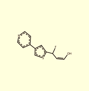 O/C=C\C(F)c1cc(-c2ccncc2)cs1